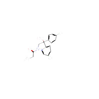 CC(C)CC(=O)NCC(O)(c1ccc(Cl)cc1)c1ccc(Cl)cc1